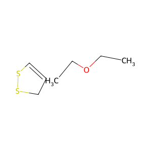 C1=CSSC1.CCOCC